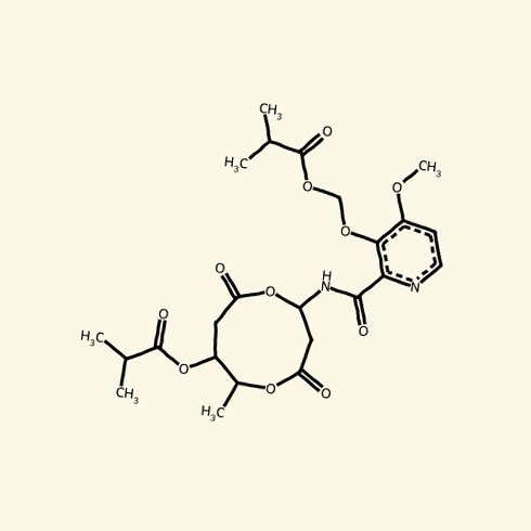 COc1ccnc(C(=O)NC2CC(=O)OC(C)C(OC(=O)C(C)C)CC(=O)O2)c1OCOC(=O)C(C)C